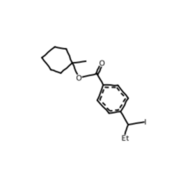 CCC(I)c1ccc(C(=O)OC2(C)CCCCC2)cc1